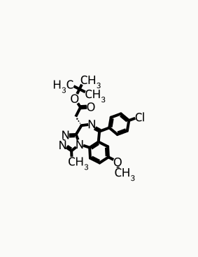 COc1ccc2c(c1)C(c1ccc(Cl)cc1)=N[C@@H](CC(=O)OC(C)(C)C)c1nnc(C)n1-2